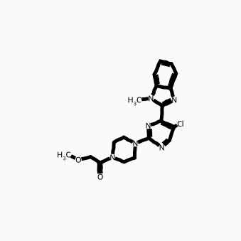 COCC(=O)N1CCN(c2ncc(Cl)c(-c3nc4ccccc4n3C)n2)CC1